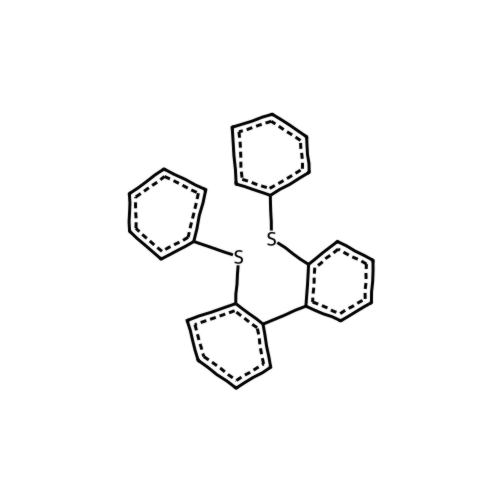 c1ccc(Sc2ccccc2-c2ccccc2Sc2ccccc2)cc1